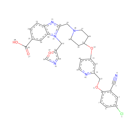 N#Cc1cc(Cl)ccc1OCc1cc(OC2CCN(Cc3nc4ccc(C(=O)O)cc4n3Cc3cnco3)CC2)ccn1